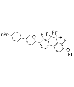 CCCC1CCC(C2=CCC(c3ccc4c(c3F)C(F)(F)C(F)(F)c3c-4ccc(OCC)c3F)OC2)CC1